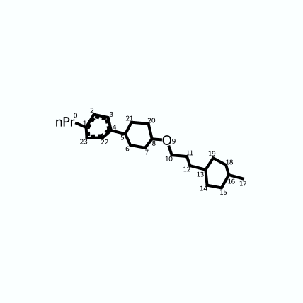 CCCc1ccc(C2CCC(OCCCC3CCC(C)CC3)CC2)cc1